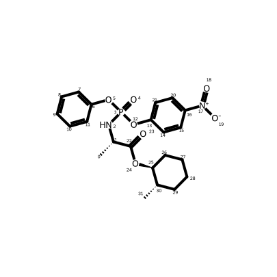 C[C@H](NP(=O)(Oc1ccccc1)Oc1ccc([N+](=O)[O-])cc1)C(=O)O[C@H]1CCCC[C@@H]1C